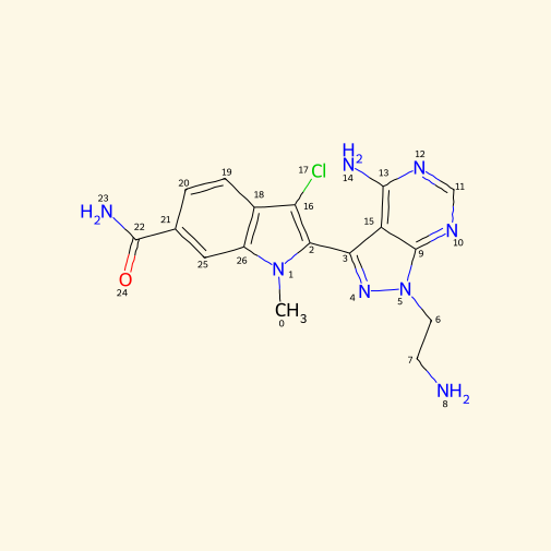 Cn1c(-c2nn(CCN)c3ncnc(N)c23)c(Cl)c2ccc(C(N)=O)cc21